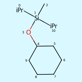 CC(C)[Si](C)(OC1CCCCC1)C(C)C